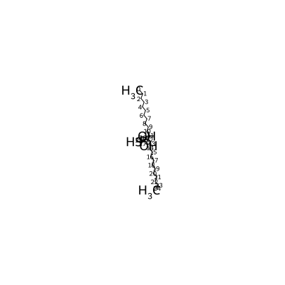 CCCCCCCCCCCCS(CCCCCCCCCCCC)=P(O)(O)S